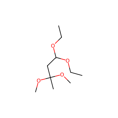 CCO[C](CC(C)(OC)OC)OCC